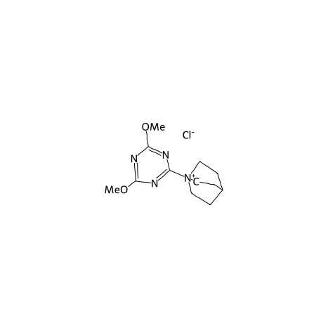 COc1nc(OC)nc([N+]23CCC(CC2)CC3)n1.[Cl-]